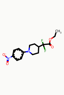 CCOC(=O)C(F)(F)C1CCN(c2ccc([N+](=O)[O-])cc2)CC1